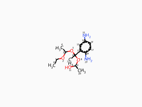 CCOC(C)OC(C)(OC(C)O)c1cc(N)ccc1N